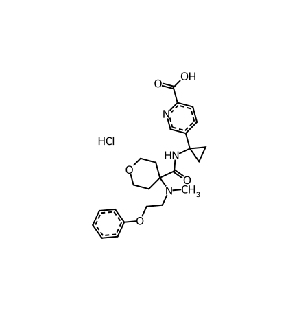 CN(CCOc1ccccc1)C1(C(=O)NC2(c3ccc(C(=O)O)nc3)CC2)CCOCC1.Cl